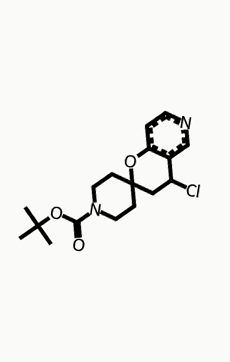 CC(C)(C)OC(=O)N1CCC2(CC1)CC(Cl)c1cnccc1O2